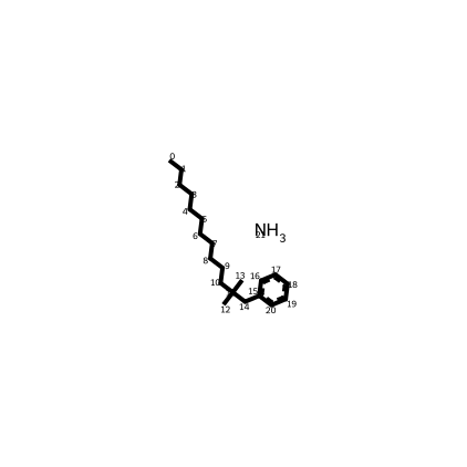 CCCCCCCCCCCC(C)(C)Cc1ccccc1.N